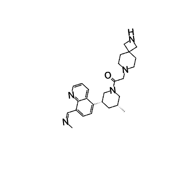 C/N=C\c1ccc([C@H]2C[C@@H](C)CN(C(=O)CN3CCC4(CC3)CNC4)C2)c2cccnc12